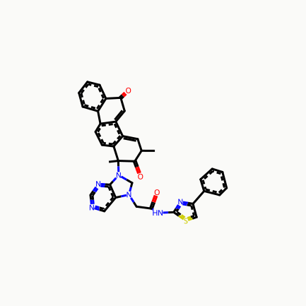 CC1C=c2c(ccc3c2=CC(=O)c2ccccc2-3)C(C)(N2CN(CC(=O)Nc3nc(-c4ccccc4)cs3)c3cncnc32)C1=O